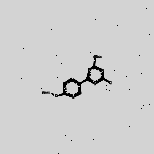 CCC[C@@H](C)Oc1ccc(-c2nc(Cl)nc(OC)n2)cn1